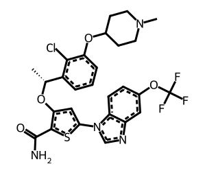 C[C@@H](Oc1cc(-n2cnc3cc(OC(F)(F)F)ccc32)sc1C(N)=O)c1cccc(OC2CCN(C)CC2)c1Cl